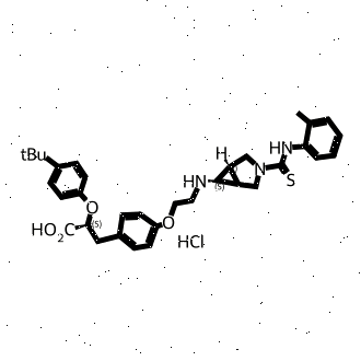 Cc1ccccc1NC(=S)N1CC2[C@H](C1)[C@H]2NCCOc1ccc(C[C@H](Oc2ccc(C(C)(C)C)cc2)C(=O)O)cc1.Cl